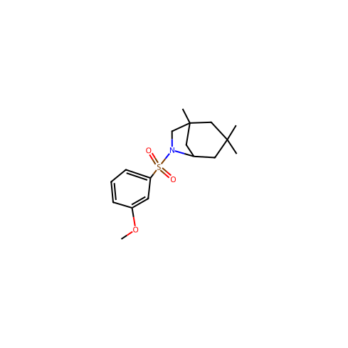 COc1cccc(S(=O)(=O)N2CC3(C)CC2CC(C)(C)C3)c1